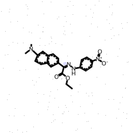 CCOC(=O)/C(=N\Nc1ccc([N+](=O)[O-])cc1)c1ccc2cc(N(C)C)ccc2c1